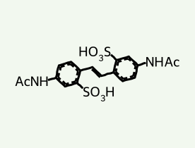 CC(=O)Nc1ccc(C=Cc2ccc(NC(C)=O)cc2S(=O)(=O)O)c(S(=O)(=O)O)c1